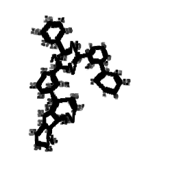 c1ccc(-c2cccc(-c3nc(-c4ccccc4)nc(-c4cccc(-c5ccnc6c5Cc5cccnc5-6)c4)n3)c2)cc1